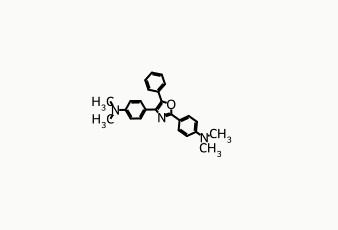 CN(C)c1ccc(-c2nc(-c3ccc(N(C)C)cc3)c(-c3ccccc3)o2)cc1